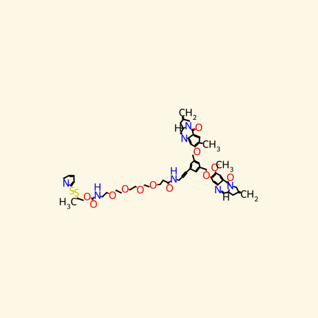 C=C1C[C@H]2C=Nc3cc(OCc4cc(C#CCNC(=O)CCOCCOCCOCCOCCNC(=O)OC[C@@H](C)SSc5ccccn5)cc(COc5cc6c(cc5OC)C(=O)N5CC(=C)C[C@H]5C=N6)c4)c(C)cc3C(=O)N2C1